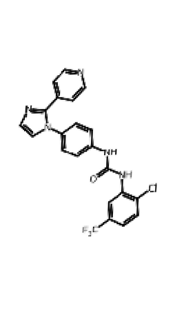 O=C(Nc1ccc(-n2ccnc2-c2ccncc2)cc1)Nc1cc(C(F)(F)F)ccc1Cl